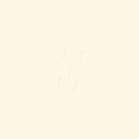 COc1c[c]c(F)cc1-c1c(N)cccc1Cl